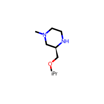 CC(C)OC[C@H]1CN(C)CCN1